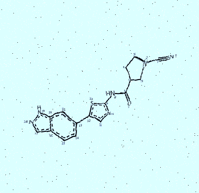 N#CN1CCC(C(=O)Nc2ncc(-c3ccc4cn[nH]c4c3)s2)C1